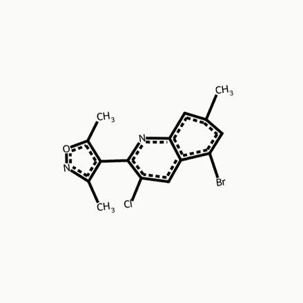 Cc1cc(Br)c2cc(Cl)c(-c3c(C)noc3C)nc2c1